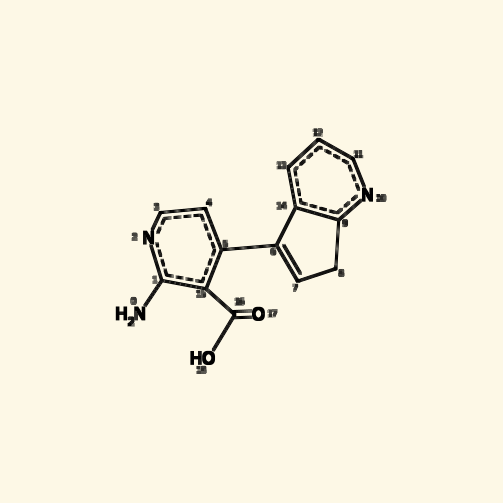 Nc1nccc(C2=CCc3ncccc32)c1C(=O)O